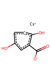 O=C([O-])c1cc(O)ccc1O.[Cs+]